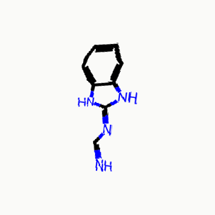 N=CN=c1[nH]c2ccccc2[nH]1